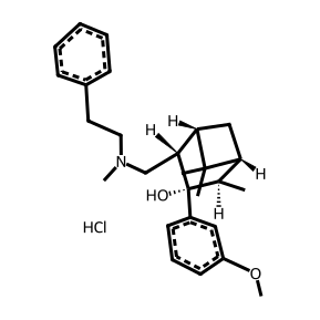 COc1cccc([C@]2(O)[C@H](C)[C@H]3C[C@@H]([C@H]2CN(C)CCc2ccccc2)C3(C)C)c1.Cl